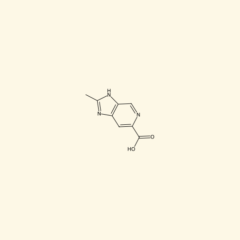 Cc1nc2cc(C(=O)O)ncc2[nH]1